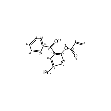 C=CC(=O)Oc1ccc(C(C)C)cc1C(=O)c1ccccc1